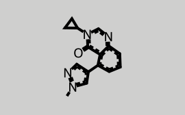 Cn1cc(-c2cccc3ncn(C4CC4)c(=O)c23)cn1